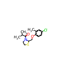 Cc1cc(Cl)ccc1OCC1SCCN1C(=O)C(C)C